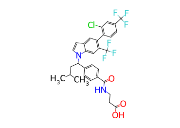 CC(C)CC(c1ccc(C(=O)NCCC(=O)O)cc1)n1ccc2cc(-c3ccc(C(F)(F)F)cc3Cl)c(C(F)(F)F)cc21